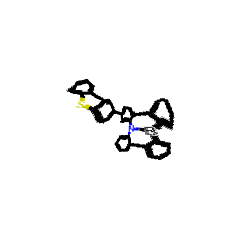 c1ccc2c(c1)B1c3ccccc3-c3ccc(-c4ccc5sc6ccccc6c5c4)cc3N1c1ccccc1-2